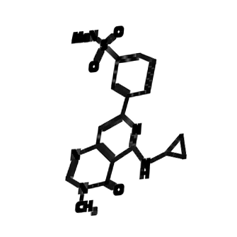 CNS(=O)(=O)c1cccc(-c2cc3ncn(C)c(=O)c3c(NC3CC3)n2)c1